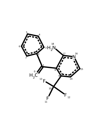 C=C(c1ccccc1)c1c(C(F)(F)F)ccnc1N